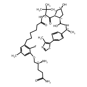 Cc1cc(CCCCCC(=O)N[C@H](C(=O)N2C[C@@H](O)C[C@H]2C(O)N[C@@H](C)c2ccc(-c3scnc3C)cc2)C(C)(C)C)c(F)c(OC[C@@H](N)CCC(N)=O)c1